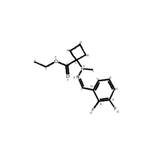 CCOC(=O)C1(N(C)/N=C\c2cccc(F)c2F)CCC1